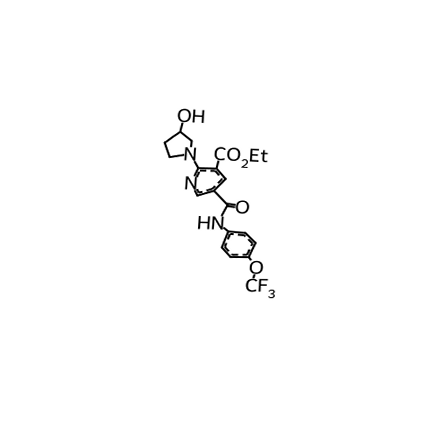 CCOC(=O)c1cc(C(=O)Nc2ccc(OC(F)(F)F)cc2)cnc1N1CCC(O)C1